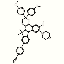 COc1ccc(C2(c3ccc(OC)cc3)C=Cc3c4c(c5cc(N6CCOCC6)c(OC)cc5c3O2)-c2ccc(-c3ccc(C#N)cc3)cc2C4(C)C)cc1